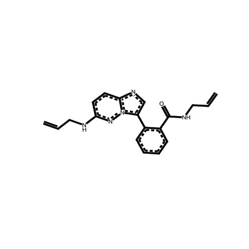 C=CCNC(=O)c1ccccc1-c1cnc2ccc(NCC=C)nn12